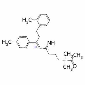 CC(=O)C(C)(C)CCCC(=N)/C=C(\CCc1ccccc1C)c1ccc(C)cc1